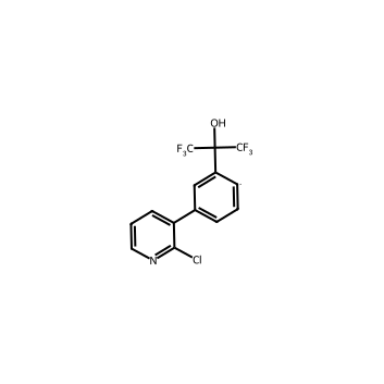 OC(c1[c]ccc(-c2cccnc2Cl)c1)(C(F)(F)F)C(F)(F)F